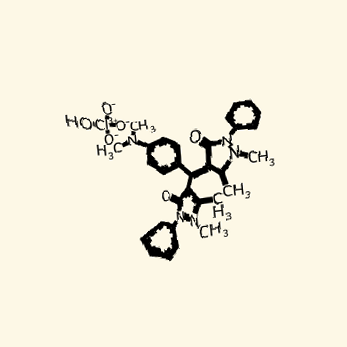 Cc1c(C(=C2C(=O)N(c3ccccc3)N(C)C2C)c2ccc(N(C)C)cc2)c(=O)n(-c2ccccc2)n1C.[O-][Cl+3]([O-])([O-])O